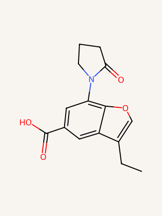 CCc1coc2c(N3CCCC3=O)cc(C(=O)O)cc12